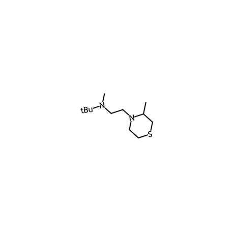 CC1CSCCN1CCN(C)C(C)(C)C